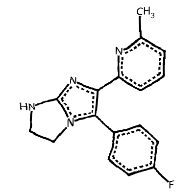 Cc1cccc(-c2nc3n(c2-c2ccc(F)cc2)CCN3)n1